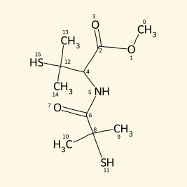 COC(=O)C(NC(=O)C(C)(C)S)C(C)(C)S